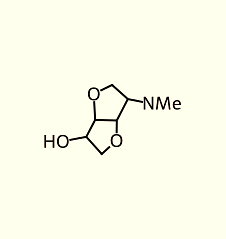 CNC1COC2C(O)COC12